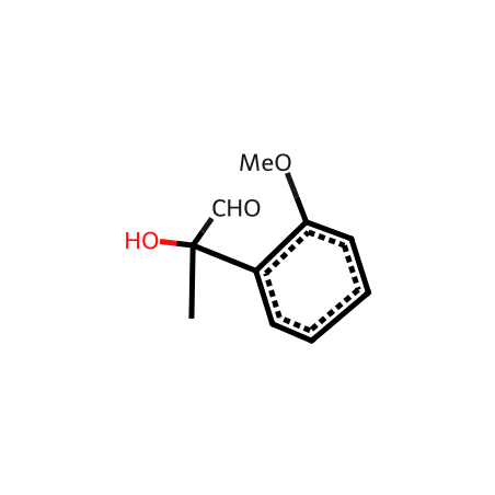 COc1ccccc1C(C)(O)C=O